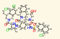 CCCCN(Cc1ccc(Cl)c(Cl)c1)C(=O)c1nn(-c2ccc(C(=O)NS(=O)(=O)c3ccc4cccc(Cl)c4c3)cc2C(=O)N2Cc3ccccc3CC2CN(C)CCO)c(C)c1Cl